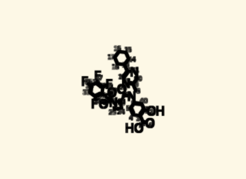 O=C(O)c1ccc(N(Cc2cnc(C3CCCCC3)cn2)C(=O)[C@H]2CCN2S(=O)(=O)c2c(F)cc(F)c(F)c2F)cc1O